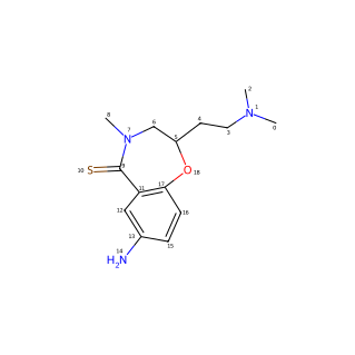 CN(C)CCC1CN(C)C(=S)c2cc(N)ccc2O1